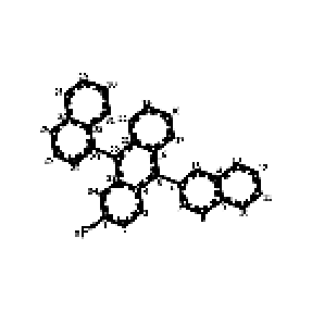 Fc1ccc2c(-c3ccc4ccccc4c3)c3ccccc3c(-c3cccc4ccccc34)c2c1